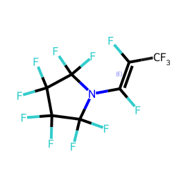 F/C(=C(/F)C(F)(F)F)N1C(F)(F)C(F)(F)C(F)(F)C1(F)F